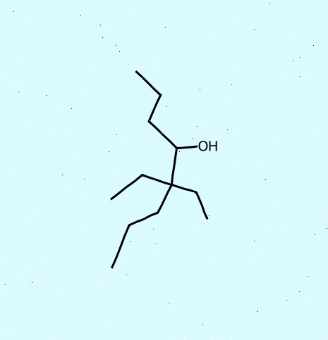 CCCC(O)C(CC)(CC)CCC